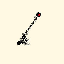 COC(=O)[C@H]1Cc2c([nH]c3ccccc23)[C@@H](c2ccc(C(=O)NCCOCCOCCOCCOCCC(=O)NC34CC5CC(CC(C5)C3)C4)cc2)N1C(=O)CCl